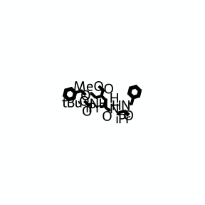 COC(=O)C(CC(C(=O)NC(C(=O)NCc1ccccc1)C(C)C)C(C)C)C(COCc1ccccc1)NC(=O)OC(C)(C)C